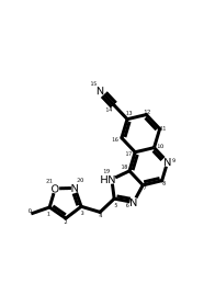 Cc1cc(Cc2nc3cnc4ccc(C#N)cc4c3[nH]2)no1